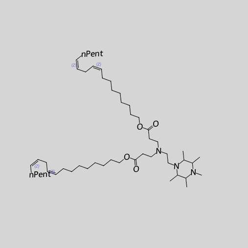 CCCCC/C=C\C/C=C\CCCCCCCCOC(=O)CCN(CCC(=O)OCCCCCCCC/C=C\C/C=C\CCCCC)CCN1C(C)C(C)N(C)C(C)C1C